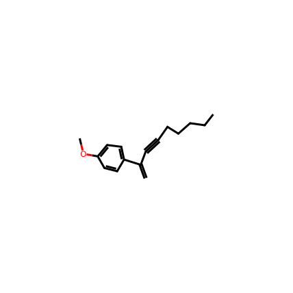 C=C(C#CCCCCC)c1ccc(OC)cc1